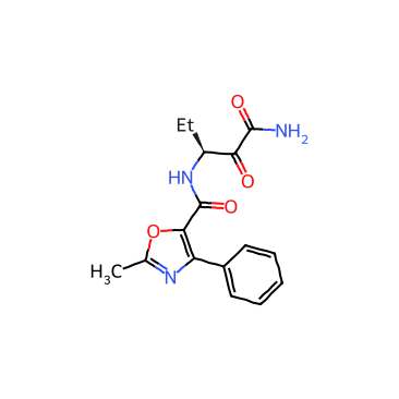 CC[C@H](NC(=O)c1oc(C)nc1-c1ccccc1)C(=O)C(N)=O